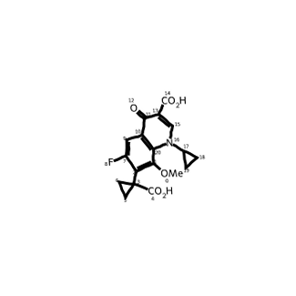 COc1c(C2(C(=O)O)CC2)c(F)cc2c(=O)c(C(=O)O)cn(C3CC3)c12